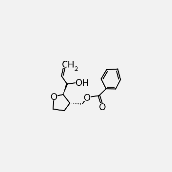 C=CC(O)[C@@H]1OCC[C@H]1COC(=O)c1ccccc1